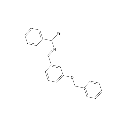 CCC(/N=C/c1cccc(OCc2ccccc2)c1)c1ccccc1